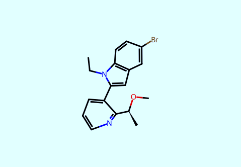 CCn1c(-c2cccnc2[C@H](C)OC)cc2cc(Br)ccc21